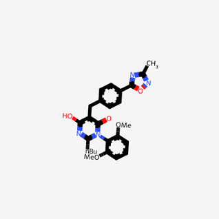 CCCCc1nc(O)c(Cc2ccc(-c3nc(C)no3)cc2)c(=O)n1-c1c(OC)cccc1OC